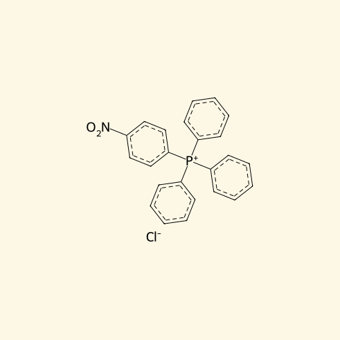 O=[N+]([O-])c1ccc([P+](c2ccccc2)(c2ccccc2)c2ccccc2)cc1.[Cl-]